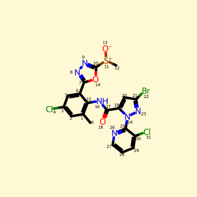 Cc1cc(Cl)cc(-c2nnc([S+](C)[O-])o2)c1NC(=O)c1cc(Br)nn1-c1ncccc1Cl